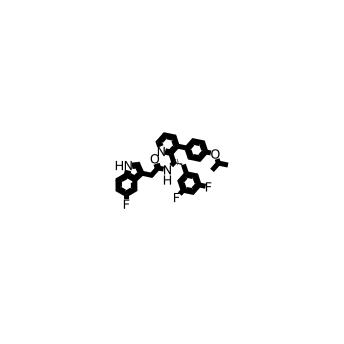 CC(C)Oc1ccc(-c2cccnc2[C@H](Cc2cc(F)cc(F)c2)NC(=O)Cc2c[nH]c3ccc(F)cc23)cc1